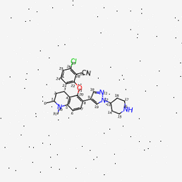 CC1CCc2c(ccc(-c3cnn(C4CCNCC4)c3)c2Oc2cccc(Cl)c2C#N)N1C